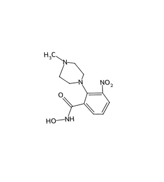 CN1CCN(c2c(C(=O)NO)cccc2[N+](=O)[O-])CC1